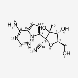 C[C@@]1(O)[C@H](O)[C@@H](CO)O[C@@]1(C#N)c1ccc2c(N)ncnn12